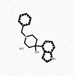 Cl.OC1(c2cccc3[nH]ccc23)CCN(Cc2ccccc2)CC1